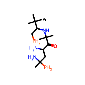 CC(C)C(C)(C)C(CP)NC(C)(C)C(=O)C(N)CC(C)(N)P